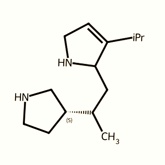 CC(C)C1=CCNC1CC(C)[C@@H]1CCNC1